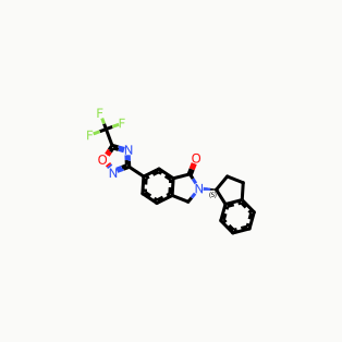 O=C1c2cc(-c3noc(C(F)(F)F)n3)ccc2CN1[C@H]1CCc2ccccc21